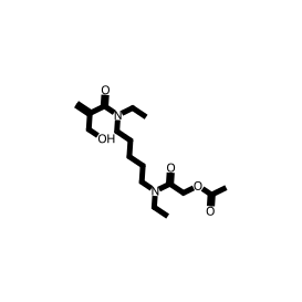 C=C(CO)C(=O)N(CC)CCCCCN(CC)C(=O)COC(C)=O